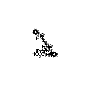 CC(C)C[C@H](CC(=O)O)C(=O)N[C@@H](Cc1c[nH]c2ccccc12)C(=O)NCCCCCNC(=O)OCc1ccccc1